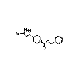 CC(=O)c1cn(C2CCN(C(=O)OCc3ccccc3)CC2)nn1